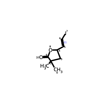 CC1(C)CC(/C=C/I)OC1=O